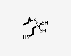 CCC.SCC[Si](S)(S)S